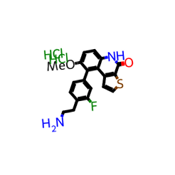 COc1ccc2[nH]c(=O)c3sccc3c2c1-c1ccc(CCN)c(F)c1.Cl.Cl